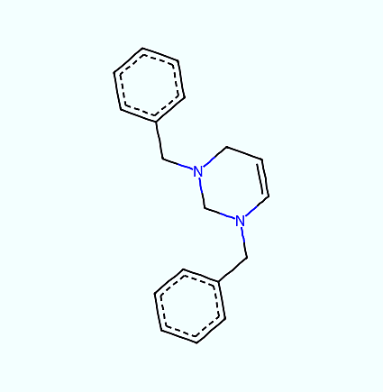 C1=CN(Cc2ccccc2)CN(Cc2ccccc2)C1